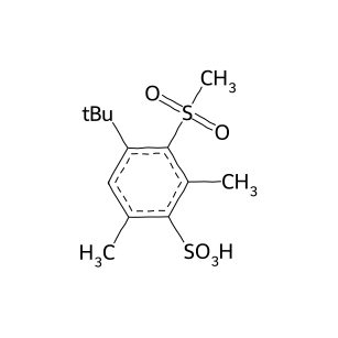 Cc1cc(C(C)(C)C)c(S(C)(=O)=O)c(C)c1S(=O)(=O)O